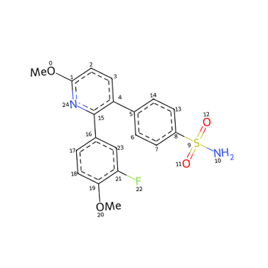 COc1ccc(-c2ccc(S(N)(=O)=O)cc2)c(-c2ccc(OC)c(F)c2)n1